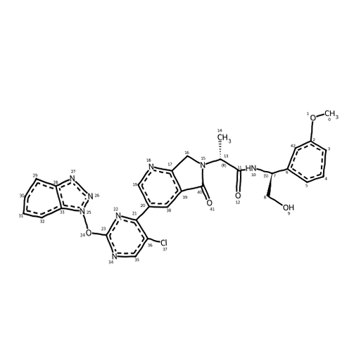 COc1cccc([C@@H](CO)NC(=O)[C@@H](C)N2Cc3ncc(-c4nc(On5nnc6ccccc65)ncc4Cl)cc3C2=O)c1